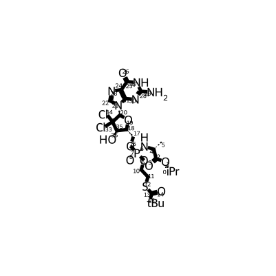 CC(C)OC(=O)[C@@H](C)N[P@@](=O)(OCCSC(=O)C(C)(C)C)OC[C@H]1O[C@@H](n2cnc3c(=O)[nH]c(N)nc32)C(Cl)(Cl)[C@@H]1O